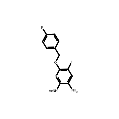 CC(=O)Nc1nc(OCc2ccc(F)cc2)c(F)cc1N